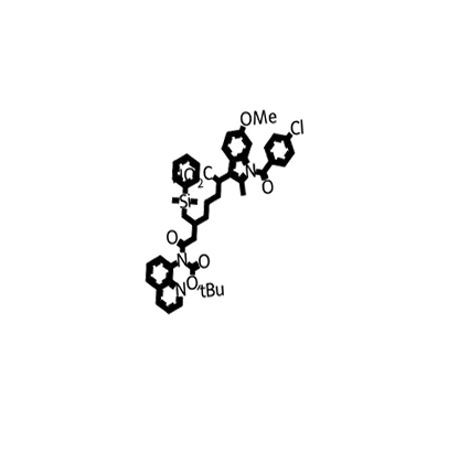 COc1ccc2c(C(CCCC(CC(=O)N(C(=O)OC(C)(C)C)c3cccc4cccnc34)C[Si](C)(C)c3ccccc3)C(=O)O)c(C)n(C(=O)c3ccc(Cl)cc3)c2c1